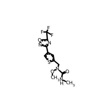 CNC(=O)N(Cc1cc(-c2noc(C(F)(F)F)n2)cs1)OC